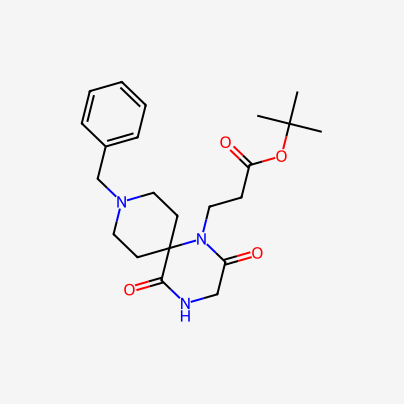 CC(C)(C)OC(=O)CCN1C(=O)CNC(=O)C12CCN(Cc1ccccc1)CC2